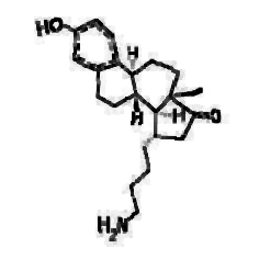 C[C@]12CC[C@@H]3c4ccc(O)cc4CC[C@H]3[C@@H]1[C@@H](CCCCN)CC2=O